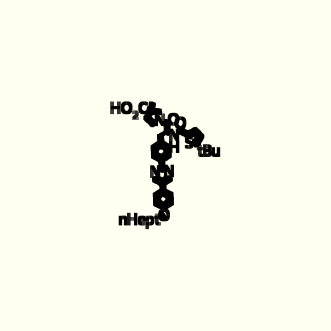 CCCCCCCOc1ccc(-c2cnc(-c3ccc(C[C@H](NC(=O)c4ccc(C(C)(C)C)s4)C(=O)N4CCC(C)(C(=O)O)C4)cc3)nc2)cc1